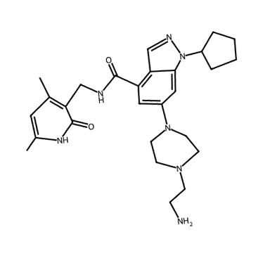 Cc1cc(C)c(CNC(=O)c2cc(N3CCN(CCN)CC3)cc3c2cnn3C2CCCC2)c(=O)[nH]1